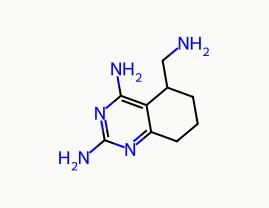 NCC1CCCc2nc(N)nc(N)c21